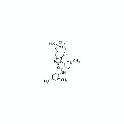 Cc1ccc(NC(=O)[C@H]2CCN(C)C[C@@H]2c2nnc(CCCC(C)(C)C)n2C2CC2)c(C)c1